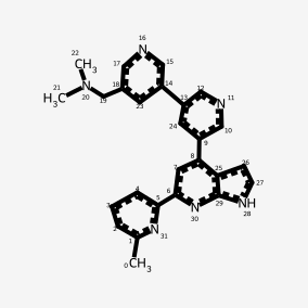 Cc1cccc(-c2cc(-c3cncc(-c4cncc(CN(C)C)c4)c3)c3cc[nH]c3n2)n1